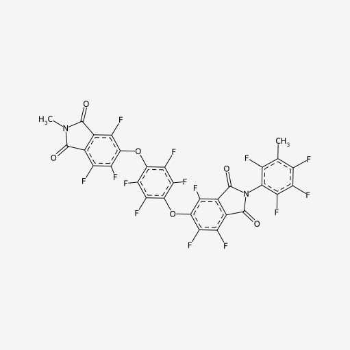 Cc1c(F)c(F)c(F)c(N2C(=O)c3c(F)c(F)c(Oc4c(F)c(F)c(Oc5c(F)c(F)c6c(c5F)C(=O)N(C)C6=O)c(F)c4F)c(F)c3C2=O)c1F